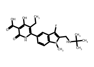 CCc1c(-c2ccc3c(c2)c(F)c(CNC(C)(C)C)n3C)[nH]c(=O)c(C(=O)O)c1O